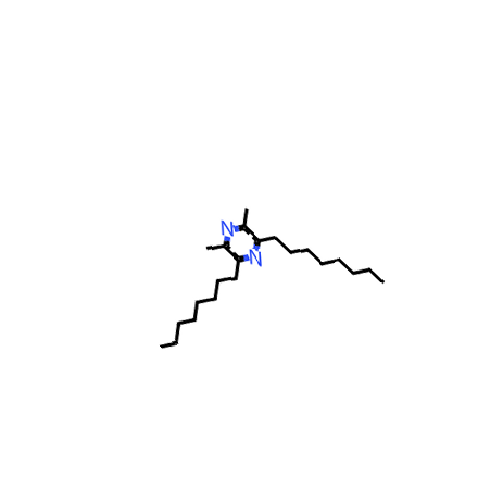 CCCCCCCCc1nc(CCCCCCCC)c(C)nc1C